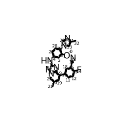 COc1cc(Nc2nc3c(-c4ccc(F)c(C#N)c4)cc(C)cn3n2)ccc1-n1cnc(C)c1